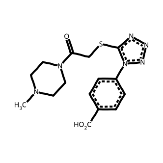 CN1CCN(C(=O)CSc2nnnn2-c2ccc(C(=O)O)cc2)CC1